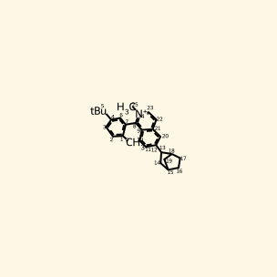 Cc1ccc(C(C)(C)C)cc1-c1c2ccc(C3CC4CCC3C4)cc2cc[n+]1C